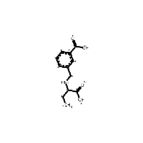 CCC(NCc1cccc(C(=O)O)c1)C(=O)O